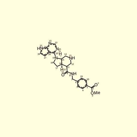 COC(=O)c1ccc(CNC(=O)C2CNC[C@H]3[C@H]2CCN3c2ncnc3[nH]ccc23)cc1